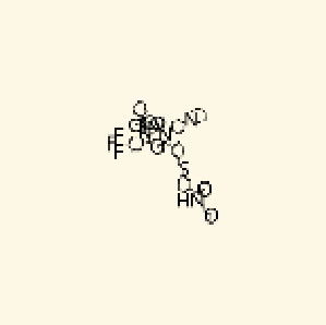 COCCNC(=O)c1cccc(SCc2cccc(C(=O)N(C(=O)c3cc4ccc(C(F)(F)F)cc4n3S(=O)(=O)c3ccccc3)c3ccc(N4CCCCC4)cc3)c2)c1